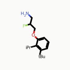 CC(C)c1c(OCC(F)CN)cccc1C(C)(C)C